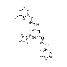 Cc1cccc(C=NNc2cc(N3CCC3)nc(OCCc3ccccn3)n2)c1